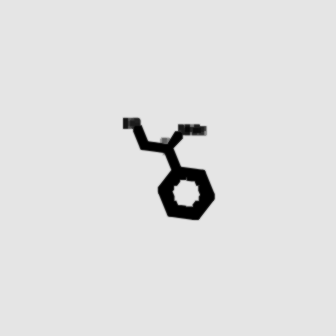 CC(=O)N[C@H](CO)c1ccccc1